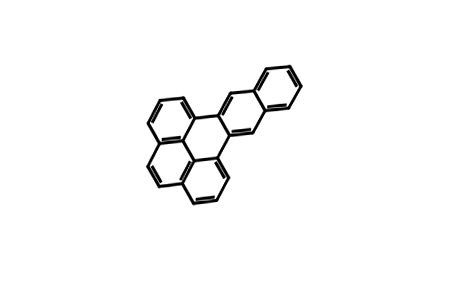 c1ccc2cc3c(cc2c1)c1cccc2ccc4cccc3c4c21